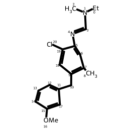 CCN(C)C=Nc1cc(C)c(Cc2cccc(OC)c2)cc1Cl